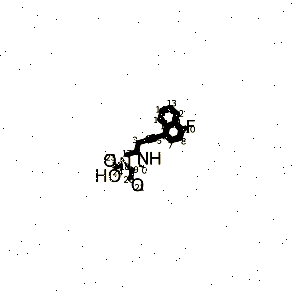 CNC(CC#Cc1ccc(F)c2ccccc12)CN(CC=O)C(=O)O